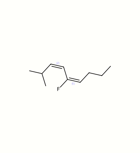 CCC/C=C(F)\C=C/C(C)C